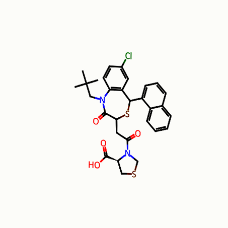 CC(C)(C)CN1C(=O)C(CC(=O)N2CSC[C@H]2C(=O)O)SC(c2cccc3ccccc23)c2cc(Cl)ccc21